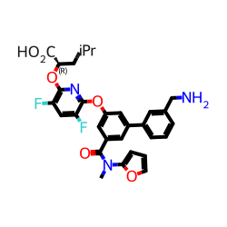 CC(C)C[C@@H](Oc1nc(Oc2cc(C(=O)N(C)c3ccco3)cc(-c3cccc(CN)c3)c2)c(F)cc1F)C(=O)O